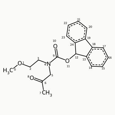 COCCN(CC(C)=O)C(=O)OC1c2ccccc2-c2ccccc21